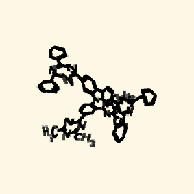 Cc1nc(C)nc(-c2ccc(-n3c4cc(-c5nc(-c6ccccc6)nc(-c6ccccc6)n5)ccc4c4ccc(-c5nc(-c6ccccc6)nc(-c6ccccc6)n5)cc43)c(-c3nc(C)nc(C)n3)c2)n1